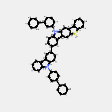 c1ccc(-c2ccc(-n3c4ccccc4c4cc(-c5ccc6c(c5)c5cc7sc8ccccc8c7cc5n6-c5cccc(-c6ccccc6)c5)ccc43)cc2)cc1